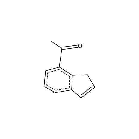 CC(=O)c1cc[c]c2c1CC=C2